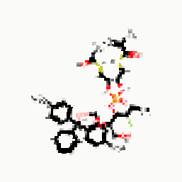 C=C[C@H](F)[C@H](OP(=O)(OCCSC(=O)C(=C)C)OCCSC(=O)C(C)(C)C)[C@@H](CO)OCBC(c1ccccc1)(c1ccc(OC)cc1)c1ccc(OC)cc1